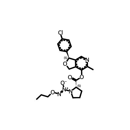 CCCON=[N+]([O-])N1CCC[C@H]1C(=O)Oc1c(C)ncc2c1CO[C@H]2c1ccc(Cl)cc1